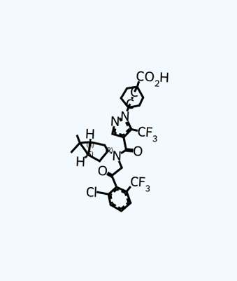 CC1(C)[C@@H]2C[C@H](N(CC(=O)c3c(Cl)cccc3C(F)(F)F)C(=O)c3cnn(C45CCC(C(=O)O)(CC4)CC5)c3C(F)(F)F)C[C@@H]21